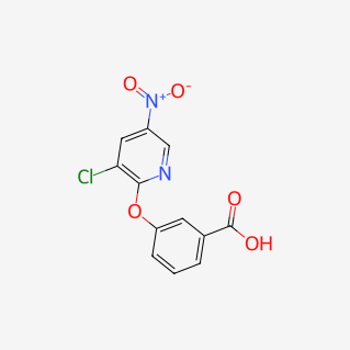 O=C(O)c1cccc(Oc2ncc([N+](=O)[O-])cc2Cl)c1